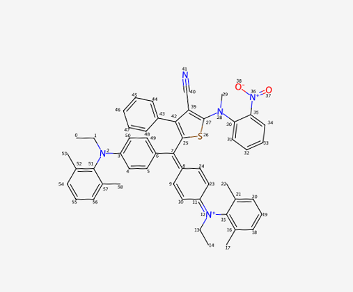 CCN(c1ccc(C(=C2C=CC(=[N+](CC)c3c(C)cccc3C)C=C2)c2sc(N(C)c3ccccc3[N+](=O)[O-])c(C#N)c2-c2ccccc2)cc1)c1c(C)cccc1C